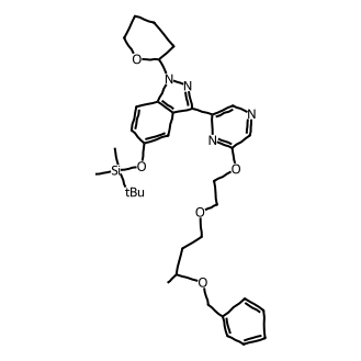 CC(CCOCCOc1cncc(-c2nn(C3CCCCO3)c3ccc(O[Si](C)(C)C(C)(C)C)cc23)n1)OCc1ccccc1